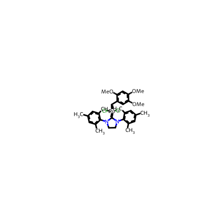 COc1cc(OC)c(OC)cc1[CH]=[Ru]([Cl])([Cl])=[C]1N(c2c(C)cc(C)cc2C)CCN1c1c(C)cc(C)cc1C